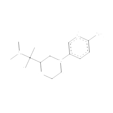 CN(C)C(C)(C)C1CN(c2ccc(N)nc2)CCO1